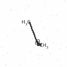 CCCCCCCCCCCCCCCCCCCC(=O)OC1C[CH]N(C)C1